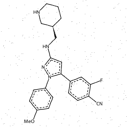 COc1ccc(-n2nc(NC[C@@H]3CCCNC3)cc2-c2ccc(C#N)c(F)c2)cc1